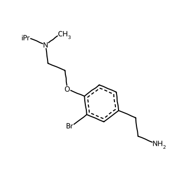 CC(C)N(C)CCOc1ccc(CCN)cc1Br